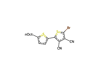 CCCCCCCCc1ccc(-c2sc(Br)c(C#N)c2C#N)s1